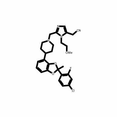 COCCn1c(CC#N)cnc1CN1CCC(c2cccc3c2OC(C)(c2ccc(Cl)cc2F)O3)CC1